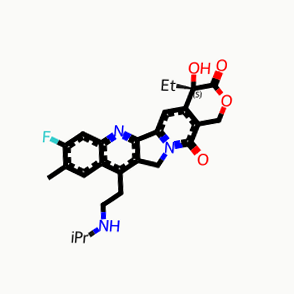 CC[C@@]1(O)C(=O)OCc2c1cc1n(c2=O)Cc2c-1nc1cc(F)c(C)cc1c2CCNC(C)C